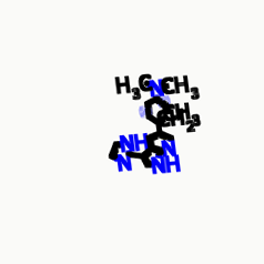 C=C(/C=C\C(=C/C)N(C)C)c1cnc2[nH]cc(-c3ncc[nH]3)c2c1